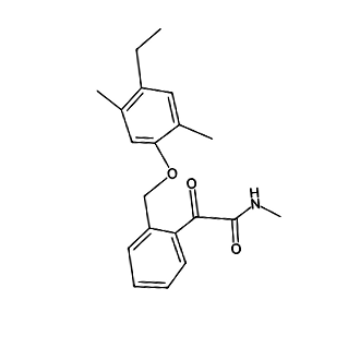 CCc1cc(C)c(OCc2ccccc2C(=O)C(=O)NC)cc1C